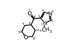 Cn1cncc1C(=O)C1CCOCC1